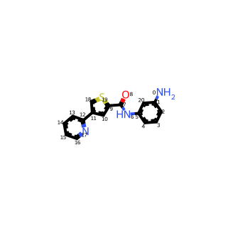 Nc1cccc(NC(=O)c2cc(-c3ccccn3)cs2)c1